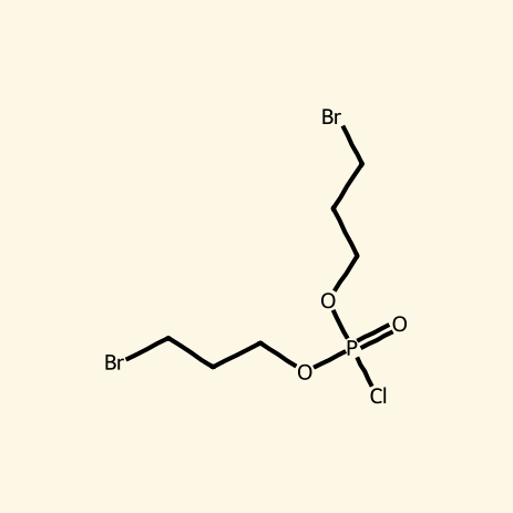 O=P(Cl)(OCCCBr)OCCCBr